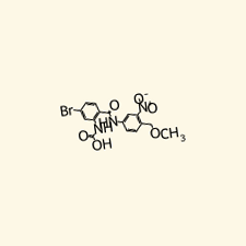 COCc1ccc(NC(=O)c2ccc(Br)cc2NC(=O)O)cc1[N+](=O)[O-]